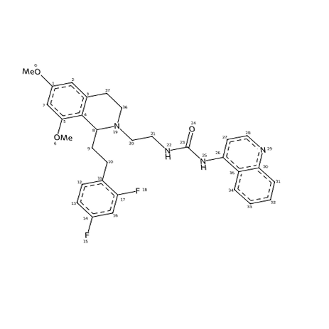 COc1cc2c(c(OC)c1)C(CCc1ccc(F)cc1F)N(CCNC(=O)Nc1ccnc3ccccc13)CC2